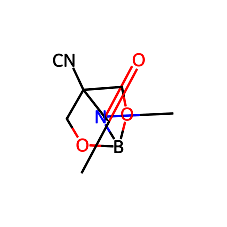 [C-]#[N+]C12COB(OC1)N(C)C2=O